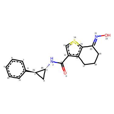 O=C(N[C@@H]1C[C@H]1c1ccccc1)c1csc2c1CCCC2=NO